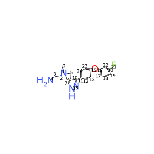 CN(CCN)Cc1c[nH]nc1-c1ccc(Oc2cccc(F)c2)cc1